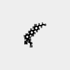 CCCCC1CCC(C2CCC(C3CCCC(C#N)(CCCC)C3)CC2)CC1